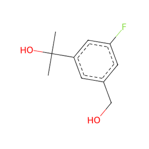 CC(C)(O)c1cc(F)cc(CO)c1